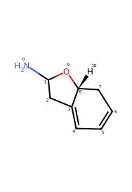 NC1CC2=CC=CC[C@H]2O1